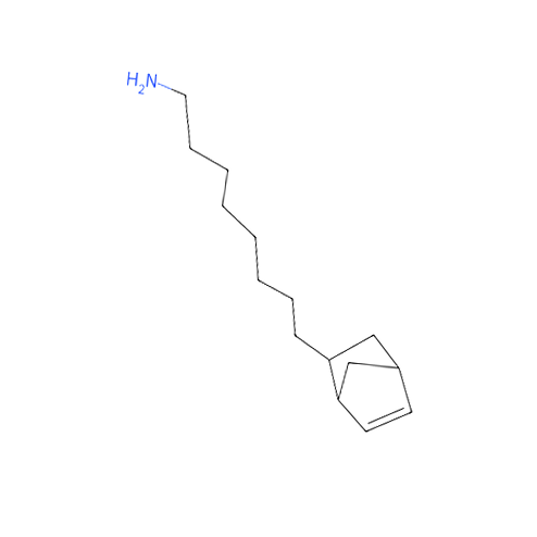 NCCCCCCCCC1CC2C=CC1C2